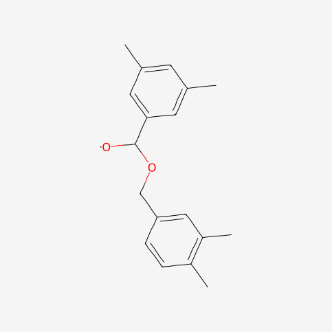 Cc1cc(C)cc(C([O])OCc2ccc(C)c(C)c2)c1